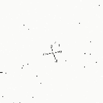 [CH3].[Cl][Sn]([Cl])([Cl])[Cl]